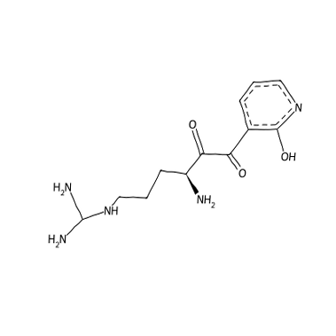 NC(N)NCCC[C@H](N)C(=O)C(=O)c1cccnc1O